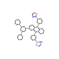 C1=COC(c2cccc(-c3c4ccccc4c(-c4cccc(-c5ncco5)c4)c4ccc(-c5cc(-c6ccccc6)cc(-c6ccccc6)c5)cc34)c2)N1